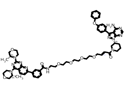 C[C@@H]1COCCN1c1nc(N2CCOC[C@H]2C)c2ccc(-c3cccc(C(=O)NCCOCCOCCOCCOC/C=C/C(=O)N4CCC[C@@H](n5nc(-c6ccc(Oc7ccccc7)cc6)c6c(N)ncnc65)C4)c3)nc2n1